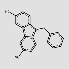 N#Cc1ccc2c(c1)c1cc(C#N)ccc1n2Cc1ccccc1